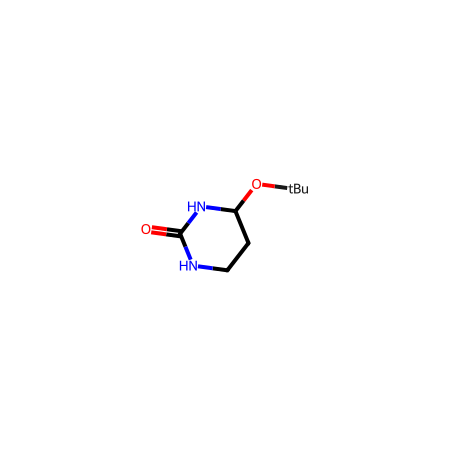 CC(C)(C)OC1CCNC(=O)N1